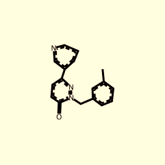 Cc1cccc(Cn2nc(-c3cccnc3)ccc2=O)c1